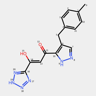 Cc1ccc(Cc2cn[nH]c2C(=O)C=C(O)c2nn[nH]n2)cc1